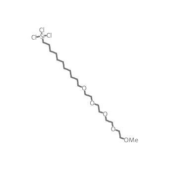 COCCOCCOCCOCCOCCCCCCCCCCC[Si](Cl)(Cl)Cl